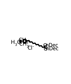 CCCCCCCCCCOC(CCCCCCCCC=Cc1ccc([P+](C)(C)C)cc1)OCCCCCCCCCC.[Cl-]